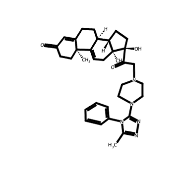 Cc1nnc(N2CCN(CC(=O)[C@@]3(O)CC[C@H]4[C@@H]5CCC6=CC(=O)CC[C@]6(C)C5=CC[C@@]43C)CC2)n1-c1ccccc1